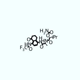 CC(C)[C@H](OC(N)=O)C(=O)N[C@@H](C)C(=O)Nc1ccc(NC(=O)C(F)(F)F)c2c1CCCC2=O